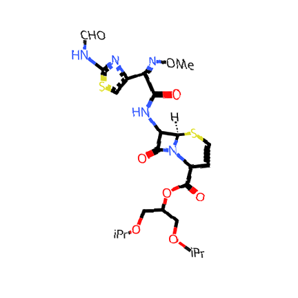 CO/N=C(\C(=O)NC1C(=O)N2C(C(=O)OC(COC(C)C)COC(C)C)C=CS[C@H]12)c1csc(NC=O)n1